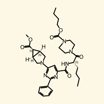 CCCCOC(=O)N1CCN(C(=O)[C@H](CCCC)NC(=O)c2cc(N3C[C@@H]4[C@H](C3)[C@@H]4C(=O)OC)nc(-c3ccccc3)n2)CC1